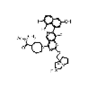 CCc1c(F)ccc2cc(O)cc(-c3ncc4c(N5CCCC(C(=O)N(C)C(C)=O)CC5)nc(OC[C@@]56CCCN5C[C@H](F)C6)nc4c3F)c12